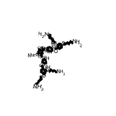 COc1cc(OC)c(C(=O)N[C@H]2CC[C@@H](NC(=O)c3ccc(OCCCCCN)cc3OCCCCCN)CC2)cc1C(=O)N[C@H]1CC[C@@H](NC(=O)c2ccc(OCCCCCN)cc2OCCCCCN)CC1